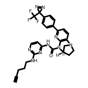 C#CCCCNc1nccc(NC(=O)N2c3nc(-c4ccc(C5(C(F)(F)F)N=N5)cc4)ccc3N3CC[C@H]2C3)n1